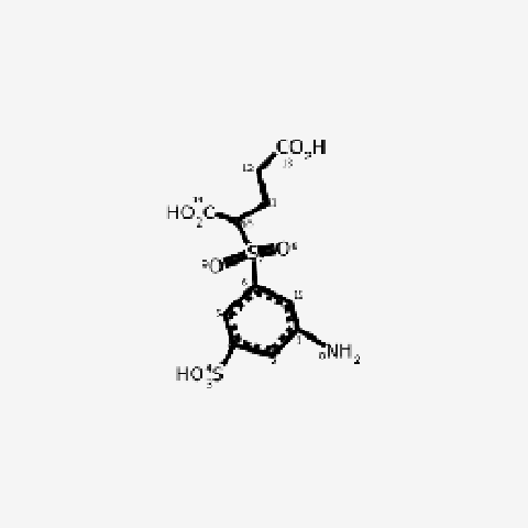 Nc1cc(S(=O)(=O)O)cc(S(=O)(=O)C(CCC(=O)O)C(=O)O)c1